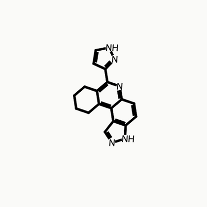 c1cc(-c2nc3ccc4[nH]ncc4c3c3c2CCCC3)n[nH]1